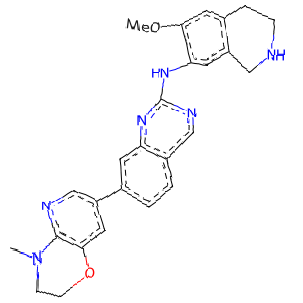 COc1cc2c(cc1Nc1ncc3ccc(-c4cnc5c(c4)OCCN5C)cc3n1)CNCC2